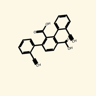 C#Cc1ccccc1-c1ccc(C(=O)O)c(-c2ccccc2C#C)c1C(=O)O